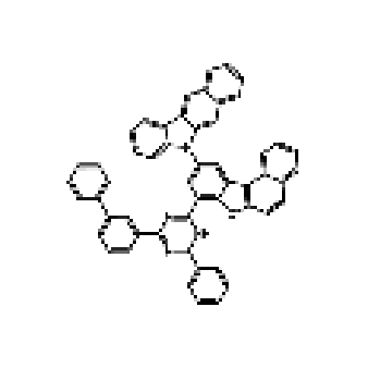 c1ccc(-c2cccc(C3=NC(c4ccccc4)NC(c4cc(-n5c6ccccc6c6cc7ccccc7cc65)cc5c4oc4ccc6ccccc6c45)=N3)c2)cc1